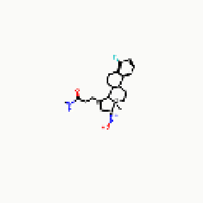 CNC(=O)CC[C@@H]1C/C(=N\O)[C@@]2(C)CCC3c4cccc(F)c4CCC3C12